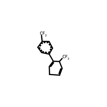 FC(F)(F)[C]1C=CCC=C1c1ccc(C(F)(F)F)cc1